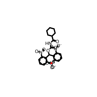 O=C(NC(=O)C1CCCCC1)OC(c1c([N+](=O)[O-])cccc1[N+](=O)[O-])c1c([N+](=O)[O-])cccc1[N+](=O)[O-]